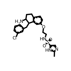 Cc1ncc(S(=O)(=O)NCCOc2ccc3c(c2)C(Cc2cccc(Cl)c2)C(N)CC3)[nH]1